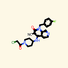 N#Cc1c(NC2CCN(C(=O)CCl)CC2)c2ccncc2n(Cc2ccc(F)cc2)c1=O